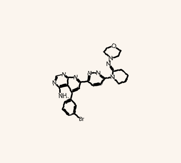 Nc1ncnc2nc(-c3ccc(N4CCCCC4=NN4CCOCC4)nn3)cc(-c3cccc(Br)c3)c12